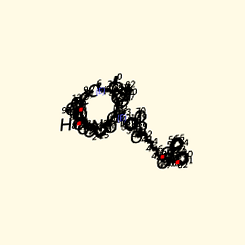 C=CC[C@@H]1/C=C(\C)C[C@H](C)C[C@H](OC)[C@H]2O[C@@](O)(C(=O)C(=O)N3CCCCC3C(=O)O[C@H](/C(C)=C/[C@@H]3CC[C@@H](OC(=O)CCCCCCC(=O)O[Si](c4ccccc4)(c4ccccc4)C(C)(C)C)[C@H](OC)C3)[C@H](C)[C@@H](O[Si](C)(C)C(C)(C)C)CC1=O)[C@H](C)C[C@@H]2OC